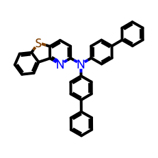 c1ccc(-c2ccc(N(c3ccc(-c4ccccc4)cc3)c3ccc4sc5ccccc5c4n3)cc2)cc1